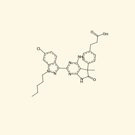 CCCCCn1nc(-c2nc(N)c3c(n2)NC(=O)C3(C)c2ccc(CCC(=O)O)cc2)c2ccc(Cl)cc21